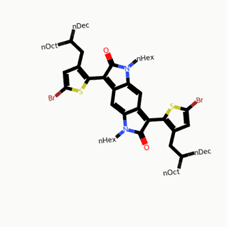 CCCCCCCCCCC(CCCCCCCC)Cc1cc(Br)sc1C1=c2cc3c(cc2N(CCCCCC)C1=O)=C(c1sc(Br)cc1CC(CCCCCCCC)CCCCCCCCCC)C(=O)N3CCCCCC